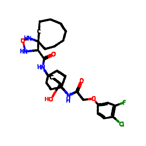 O=C(COc1ccc(Cl)c(F)c1)NC12CCC(NC(=O)C3NONC34CCCCCCCC4)(CC1)CC2O